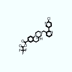 O=C(OC(=O)C(F)(F)F)c1ccc2c(c1)CC[C@@H]1CN(Cc3cccnc3-c3ccc(Cl)nc3)CCN21